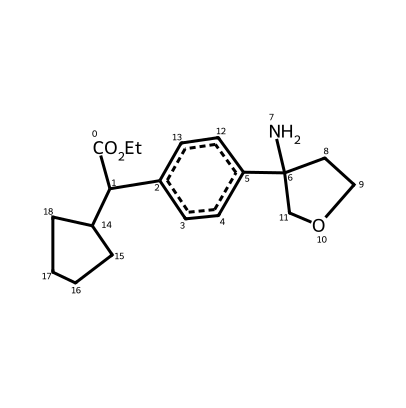 CCOC(=O)C(c1ccc(C2(N)CCOC2)cc1)C1CCCC1